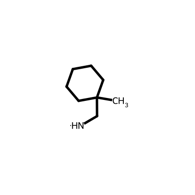 CC1(C[NH])CCCCC1